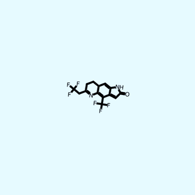 O=C1C=C2C(=CC3CCC(CC(F)(F)F)=NC3=C2C(F)(F)F)N1